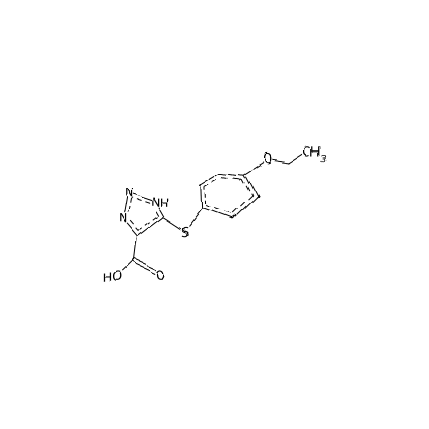 CCOc1ccc(Sc2[nH]nnc2C(=O)O)cc1